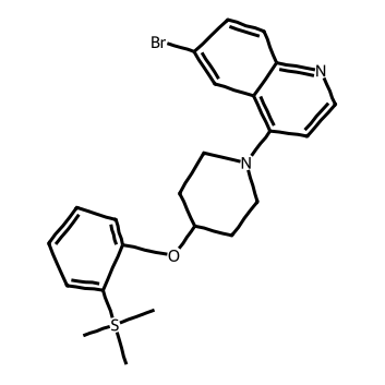 CS(C)(C)c1ccccc1OC1CCN(c2ccnc3ccc(Br)cc23)CC1